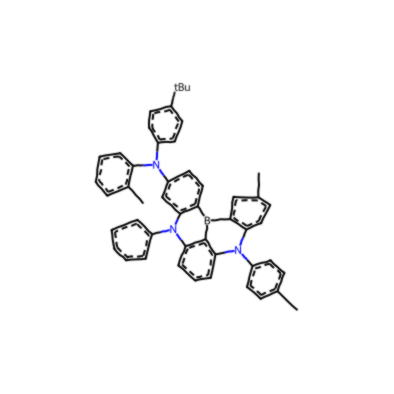 Cc1ccc(N2c3ccc(C)cc3B3c4ccc(N(c5ccc(C(C)(C)C)cc5)c5ccccc5C)cc4N(c4ccccc4)c4cccc2c43)cc1